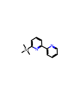 [CH3][Sn]([CH3])([CH3])[c]1cccc(-c2ccccn2)n1